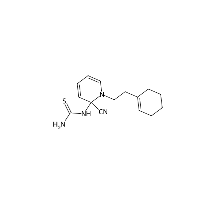 N#CC1(NC(N)=S)C=CC=CN1CCC1=CCCCC1